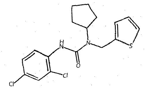 O=C(Nc1ccc(Cl)cc1Cl)N(Cc1cccs1)C1CCCC1